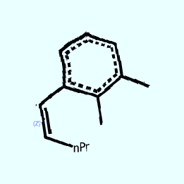 CCC/C=[C]\c1cccc(C)c1C